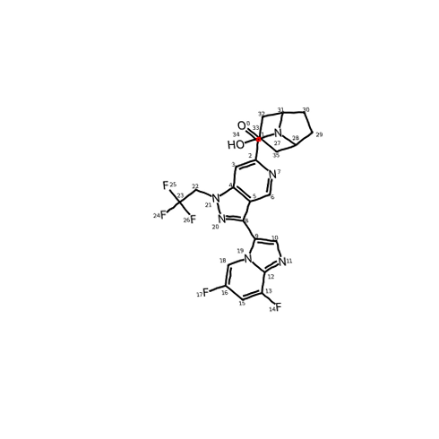 O=C(c1cc2c(cn1)c(-c1cnc3c(F)cc(F)cn13)nn2CC(F)(F)F)N1C2CCC1CC(O)C2